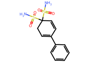 NS(=O)(=O)C1(S(N)(=O)=O)C=CC(c2ccccc2)=CC1